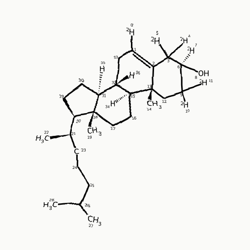 [2H]C1=C2C([2H])([2H])[C@@]([2H])(O)C([2H])([2H])C[C@]2(C)[C@H]2CC[C@]3(C)[C@@H]([C@H](C)CCCC(C)C)CC[C@H]3[C@@H]2C1